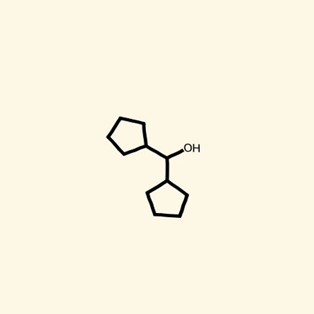 OC(C1CCCC1)C1CCCC1